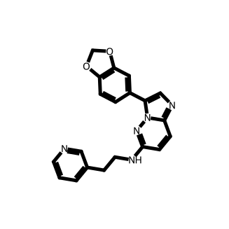 c1cncc(CCNc2ccc3ncc(-c4ccc5c(c4)OCO5)n3n2)c1